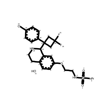 CCCS(=O)(=O)NCCOc1ccc2c(c1)C(C1(c3ccc(Cl)cc3)CC(F)(F)C1)NCC2.Cl